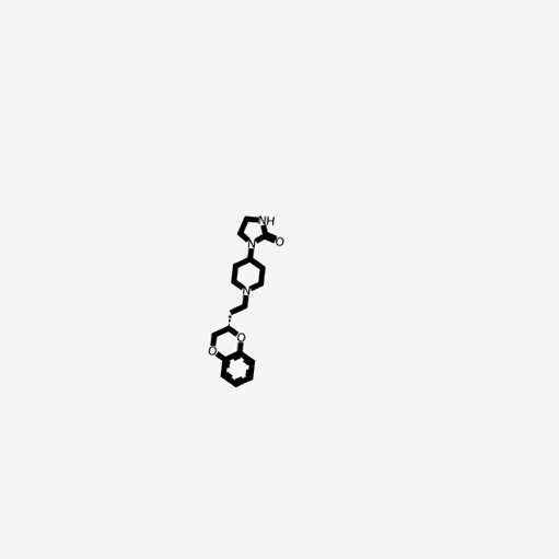 O=C1NCCN1C1CCN(CC[C@H]2COc3ccccc3O2)CC1